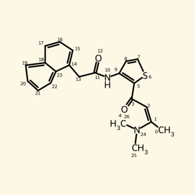 CC(=CC(=O)c1sccc1NC(=O)Cc1cccc2ccccc12)N(C)C